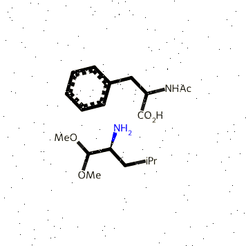 CC(=O)NC(Cc1ccccc1)C(=O)O.COC(OC)[C@@H](N)CC(C)C